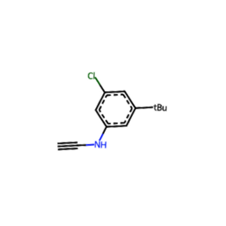 C#CNc1cc(Cl)cc(C(C)(C)C)c1